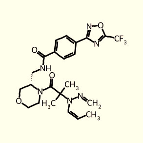 C=NN(/C=C\C)C(C)(C)C(=O)N1CCOC[C@@H]1CNC(=O)c1ccc(-c2noc(C(F)(F)F)n2)cc1